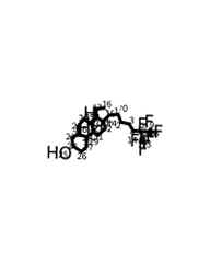 C[C@H](CCCC(F)(C(F)(F)F)C(F)(F)F)[C@H]1CC[C@H]2[C@@H]3CC=C4C[C@@H](O)CC[C@]4(C)[C@H]3CC[C@]12C